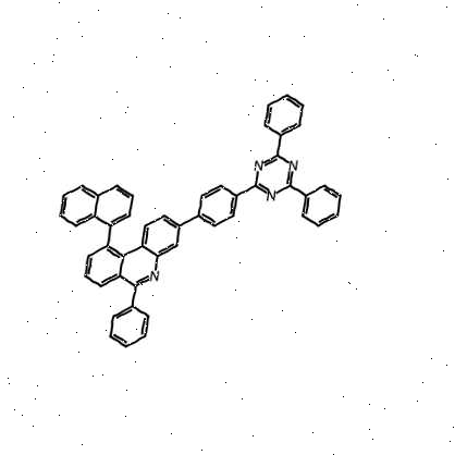 c1ccc(-c2nc(-c3ccccc3)nc(-c3ccc(-c4ccc5c(c4)nc(-c4ccccc4)c4cccc(-c6cccc7ccccc67)c45)cc3)n2)cc1